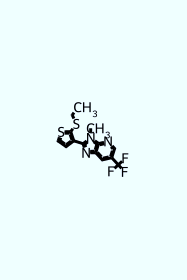 CCSc1sccc1-c1nc2cc(C(F)(F)F)cnc2n1C